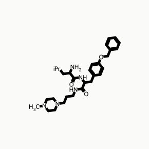 CC(C)CC(N)C(=O)NC(Cc1ccc(OCc2ccccc2)cc1)C(=O)NCCCN1CCN(C)CC1